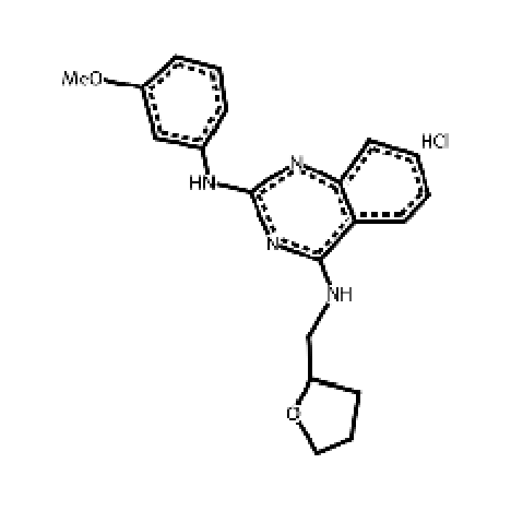 COc1cccc(Nc2nc(NCC3CCCO3)c3ccccc3n2)c1.Cl